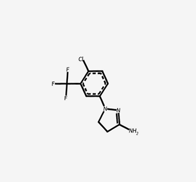 NC1=NN(c2ccc(Cl)c(C(F)(F)F)c2)CC1